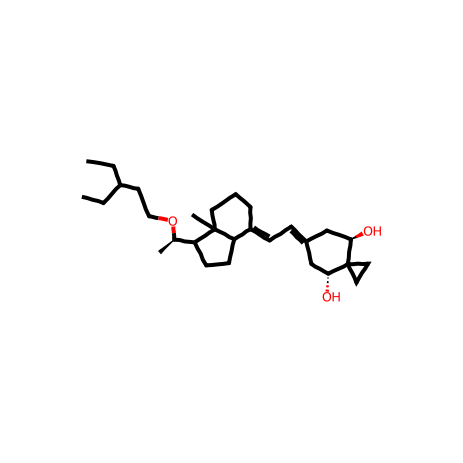 CCC(CC)CCO[C@H](C)C1CCC2/C(=C/C=C3C[C@@H](O)C4(CC4)[C@H](O)C3)CCCC21C